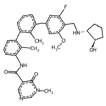 COc1cc(-c2cccc(-c3cccc(NC(=O)c4cncn(C)c4=O)c3C)c2C)cc(F)c1CN[C@@H]1CCC[C@H]1O